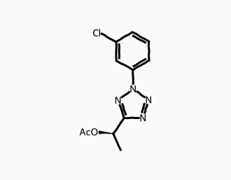 CC(=O)O[C@H](C)c1nnn(-c2cccc(Cl)c2)n1